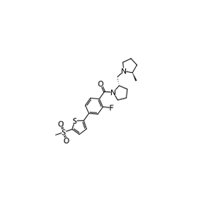 C[C@@H]1CCCN1C[C@@H]1CCCN1C(=O)c1ccc(-c2ccc(S(C)(=O)=O)s2)cc1F